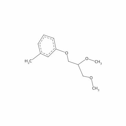 [CH2]c1cccc(OCC(COC)OC)c1